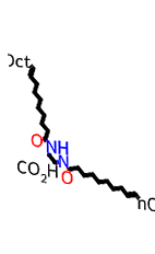 CCCCCCCCC=CCCCCCCCC(=O)NCC(NC(=O)CCCCCCCC=CCCCCCCCC)C(=O)O